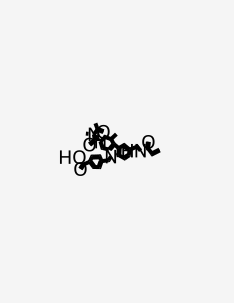 C=CC(=O)NCc1ccc2c(c1)c1c(n2Cc2ccc(C(=O)O)cc2)CN(C(=O)N(C)C(C)=O)CC1C